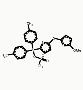 COc1ccc(Sc2ccc(S(OS(=O)(=O)C(F)(F)F)(c3ccc(C)cc3)c3ccc(C)cc3)s2)s1